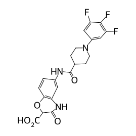 O=C(Nc1ccc2c(c1)NC(=O)C(C(=O)O)O2)C1CCN(c2cc(F)c(F)c(F)c2)CC1